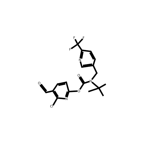 CC(C)(C)N(Cc1ccc(C(F)(F)F)nc1)C(=O)Oc1ccc(C=O)c(Cl)n1